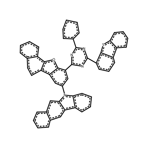 c1ccc(-c2nc(-c3cc(-n4c5ccccc5c5cc6ccccc6cc54)cc4c3oc3c5ccccc5ccc43)nc(-c3cccc4c3sc3ccccc34)n2)cc1